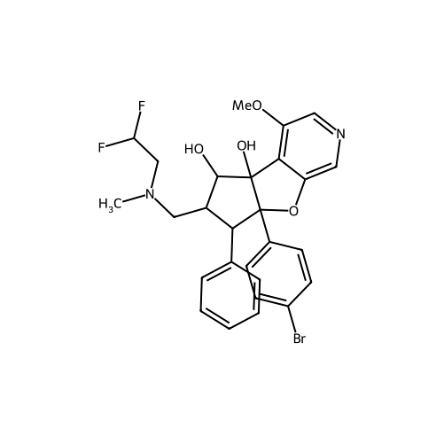 COc1cncc2c1C1(O)C(O)C(CN(C)CC(F)F)C(c3ccccc3)C1(c1ccc(Br)cc1)O2